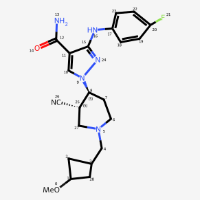 COC1CC(CN2CC[C@H](n3cc(C(N)=O)c(Nc4ccc(F)cc4)n3)[C@@H](C#N)C2)C1